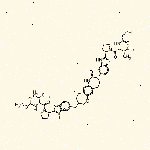 COC(=O)N[C@@H](C(=O)N1CCCC1c1nc2ccc(CC3CCc4cc5c(cc4OC3)CCC(c3ccc4nc(C6CCCN6C(=O)[C@@H](NC(=O)CO)C(C)C)[nH]c4c3)C(=O)N5)cc2[nH]1)C(C)C